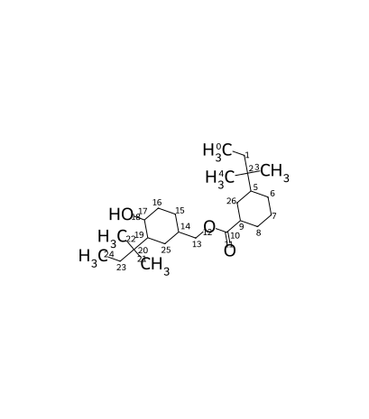 CCC(C)(C)C1CCCC(C(=O)OCC2CCC(O)C(C(C)(C)CC)C2)C1